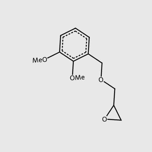 COc1cccc(COCC2CO2)c1OC